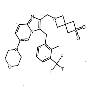 Cc1c(Cc2c(CN3CC4(C3)CS(=O)(=O)C4)nc3ccc(N4CCOCC4)cn23)cccc1C(F)(F)F